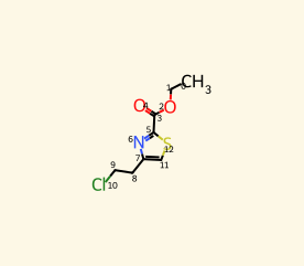 CCOC(=O)c1nc(CCCl)cs1